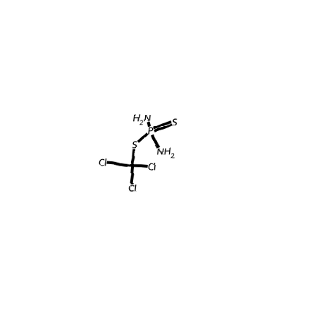 NP(N)(=S)SC(Cl)(Cl)Cl